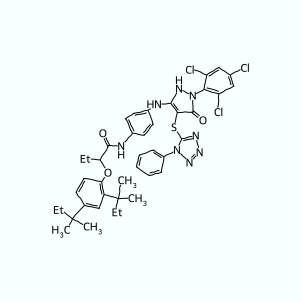 CCC(Oc1ccc(C(C)(C)CC)cc1C(C)(C)CC)C(=O)Nc1ccc(Nc2[nH]n(-c3c(Cl)cc(Cl)cc3Cl)c(=O)c2Sc2nnnn2-c2ccccc2)cc1